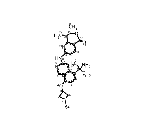 CC(=O)N1CC(Oc2ccc(C(C)(C)N)c3cc(Nc4ccc5c(n4)[C@@H](C)[C@H](C)OC5=O)ncc23)C1